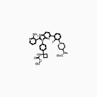 CSN(C)C1CCN(c2cccc(-c3ccc4nc(-c5cccnc5N)n(-c5ccc(C6(NC(=O)OC(C)(C)C)CCC6)cc5)c4n3)c2F)CC1